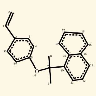 C=Cc1ccc(OC(C)(C)c2cccc3ccccc23)cc1